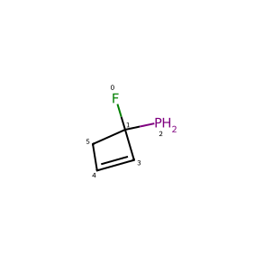 FC1(P)C=CC1